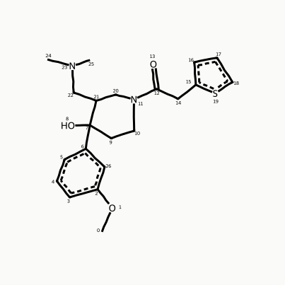 COc1cccc(C2(O)CCN(C(=O)Cc3cccs3)CC2CN(C)C)c1